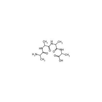 CC(N)C(=O)NC(C)C(=O)NC(C)C(=O)NC(C)C(=O)O